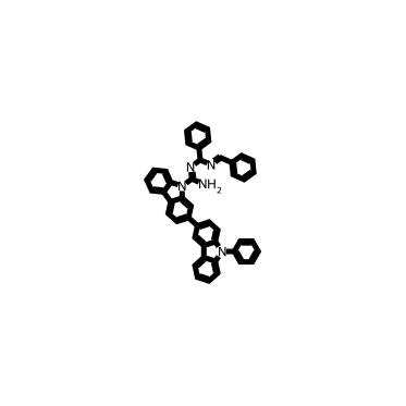 N/C(=N\C(/N=C/c1ccccc1)c1ccccc1)n1c2ccccc2c2ccc(-c3ccc4c(c3)c3ccccc3n4-c3ccccc3)cc21